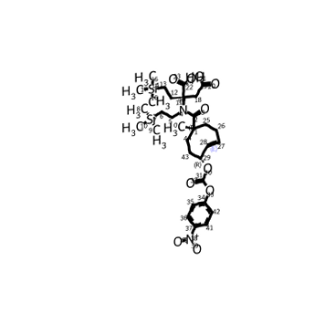 C[C@@]1(C(=O)N(CC[Si](C)(C)C)[C@@](CC[Si](C)(C)C)(CC(=O)O)C(=O)O)CC/C=C/[C@H](OC(=O)Oc2ccc([N+](=O)[O-])cc2)CC1